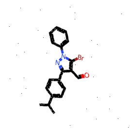 CC(C)c1ccc(-c2nn(-c3ccccc3)c(Br)c2C=O)cc1